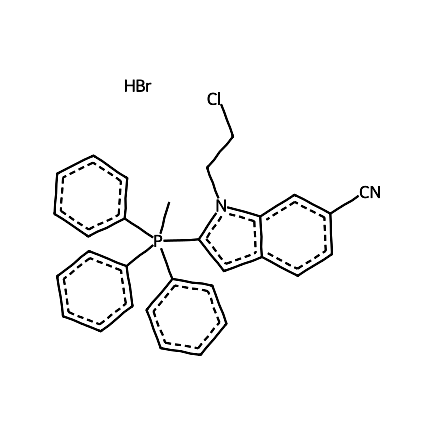 Br.CP(c1ccccc1)(c1ccccc1)(c1ccccc1)c1cc2ccc(C#N)cc2n1CCCl